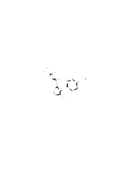 Cc1cc(Cl)ccc1-c1c(C)noc1/C=N/[S@@+]([O-])C(C)(C)C